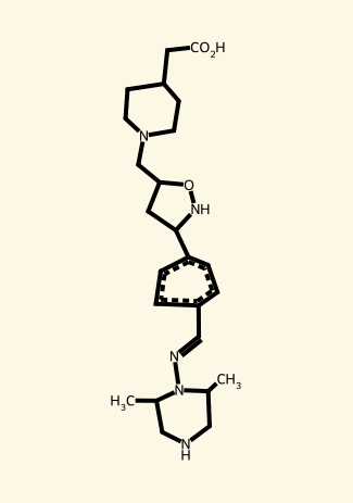 CC1CNCC(C)N1N=Cc1ccc(C2CC(CN3CCC(CC(=O)O)CC3)ON2)cc1